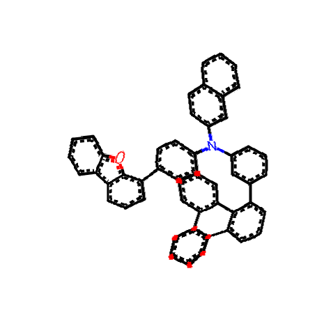 c1ccc(-c2ccccc2-c2c(-c3ccccc3)cccc2-c2cccc(N(c3ccc(-c4cccc5c4oc4ccccc45)cc3)c3ccc4ccccc4c3)c2)cc1